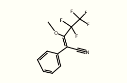 COC(=C(C#N)c1ccccc1)C(F)(F)C(F)(F)F